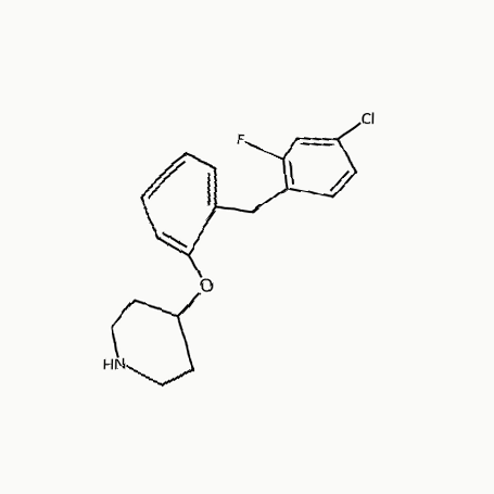 Fc1cc(Cl)ccc1Cc1ccccc1OC1CCNCC1